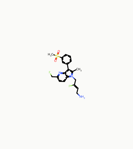 Cc1c(-c2cccc(S(C)(=O)=O)c2)c2nc(CF)ccc2n1C/C(F)=C/CN